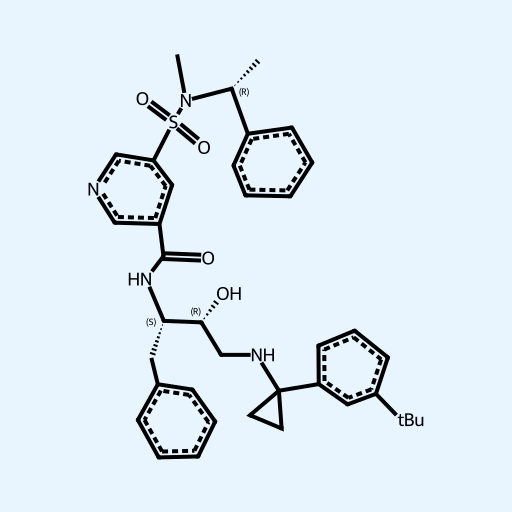 C[C@H](c1ccccc1)N(C)S(=O)(=O)c1cncc(C(=O)N[C@@H](Cc2ccccc2)[C@H](O)CNC2(c3cccc(C(C)(C)C)c3)CC2)c1